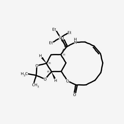 CC[Si](CC)(CC)O[C@@]12CC(OC(=O)CCCCC=CCNC1=O)[C@@H]1OC(C)(C)O[C@@H]1C2